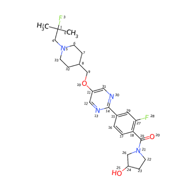 CC(C)(F)CN1CCC(COc2cnc(-c3ccc(C(=O)N4CCC(O)C4)c(F)c3)nc2)CC1